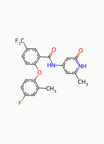 Cc1cc(NC(=O)c2cc(C(F)(F)F)ccc2Oc2ccc(F)cc2C)cc(=O)[nH]1